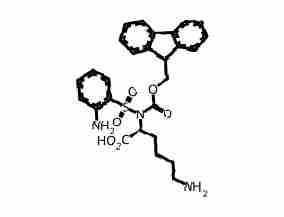 NCCCC[C@@H](C(=O)O)N(C(=O)OCC1c2ccccc2-c2ccccc21)S(=O)(=O)c1ccccc1N